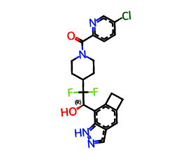 O=C(c1ccc(Cl)cn1)N1CCC(C(F)(F)[C@H](O)c2c3c(cc4cn[nH]c24)CC3)CC1